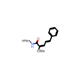 CCCCCCNC(=O)/C(=C\C=C\c1ccccc1)OC